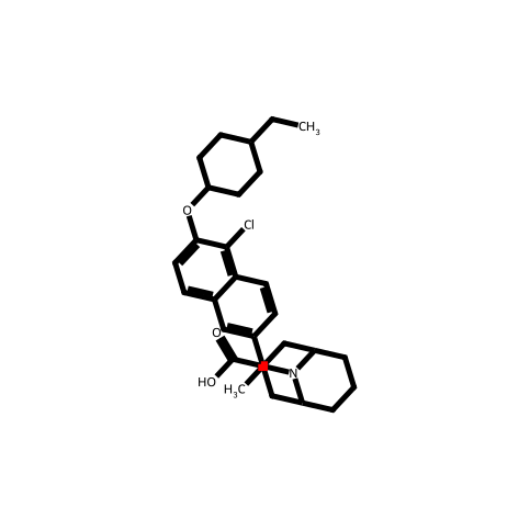 CCC1CCC(Oc2ccc3cc(C(C)N4C5CCCC4CC(C(=O)O)C5)ccc3c2Cl)CC1